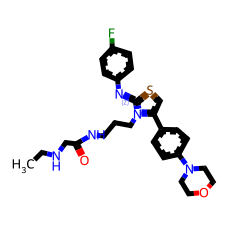 CCNCC(=O)NCCCn1c(-c2ccc(N3CCOCC3)cc2)cs/c1=N\c1ccc(F)cc1